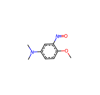 COc1ccc(N(C)C)cc1N=O